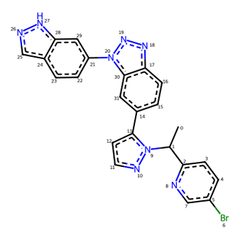 CC(c1ccc(Br)cn1)n1nccc1-c1ccc2nnn(-c3ccc4cn[nH]c4c3)c2c1